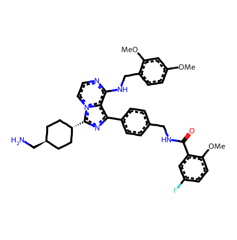 COc1ccc(CNc2nccn3c2c(-c2ccc(CNC(=O)c4cc(F)ccc4OC)cc2)nc3[C@H]2CC[C@H](CN)CC2)c(OC)c1